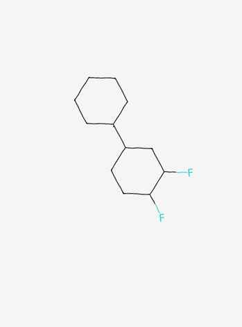 FC1CCC([C]2CCCCC2)CC1F